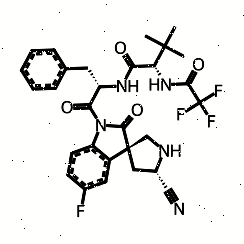 CC(C)(C)[C@H](NC(=O)C(F)(F)F)C(=O)N[C@@H](Cc1ccccc1)C(=O)N1C(=O)[C@@]2(CN[C@H](C#N)C2)c2cc(F)ccc21